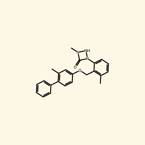 Cc1cc(OCc2c(C)cccc2-n2[nH]n(C)c2=O)ccc1-c1ccccc1